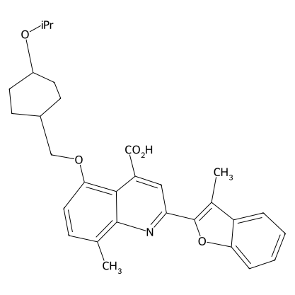 Cc1c(-c2cc(C(=O)O)c3c(OCC4CCC(OC(C)C)CC4)ccc(C)c3n2)oc2ccccc12